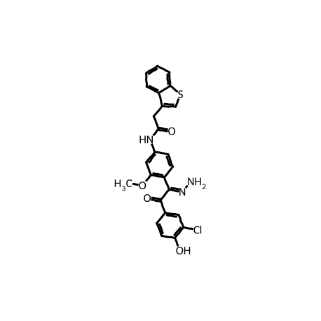 COc1cc(NC(=O)Cc2csc3ccccc23)ccc1/C(=N\N)C(=O)c1ccc(O)c(Cl)c1